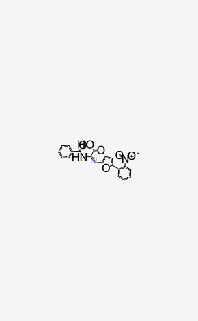 O=C(O)/C(=C\c1ccc(-c2ccccc2[N+](=O)[O-])o1)NC(=O)c1ccccc1